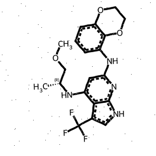 COC[C@@H](C)Nc1cc(Nc2cc[c]c3c2OCCO3)nc2[nH]cc(C(F)(F)F)c12